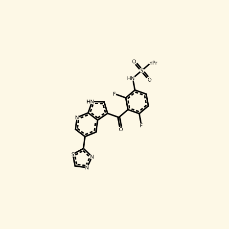 CCCS(=O)(=O)Nc1ccc(F)c(C(=O)c2c[nH]c3ncc(-c4nncs4)cc23)c1F